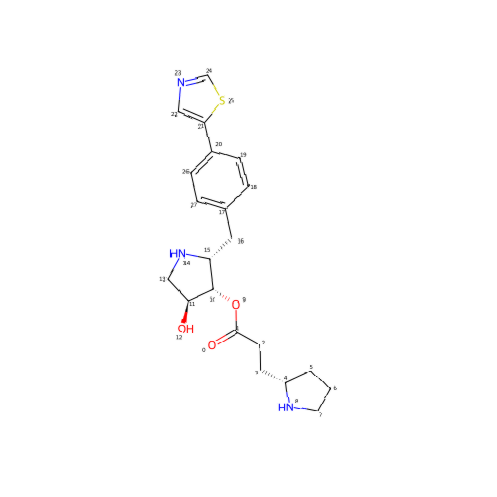 O=C(CC[C@@H]1CCCN1)O[C@@H]1[C@@H](O)CN[C@@H]1Cc1ccc(-c2cncs2)cc1